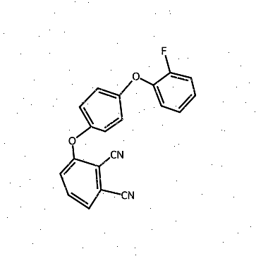 N#Cc1cccc(Oc2ccc(Oc3ccccc3F)cc2)c1C#N